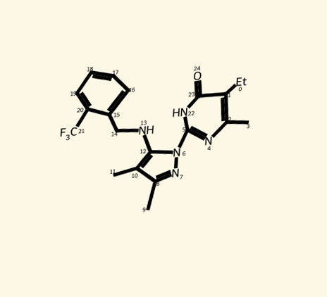 CCc1c(C)nc(-n2nc(C)c(C)c2NCc2ccccc2C(F)(F)F)[nH]c1=O